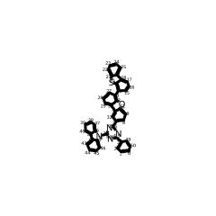 c1ccc(-c2nc(-c3ccc4oc5c(-c6cccc7c6sc6ccccc67)cccc5c4c3)nc(-n3c4ccccc4c4ccccc43)n2)cc1